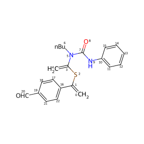 C=C(SC(=C)N(CCCC)C(=O)Nc1ccccc1)c1ccc(C=O)cc1